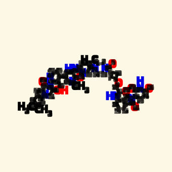 C[C@H]1CN(C(=O)[C@H]2C[C@@H](OCCNc3cccc4c3C(=O)N(C3CCC(=O)NC3=O)C4=O)C2)CCN1c1ccc(Nc2cc(-c3ccnc(N4CCn5c(cc6c5CC(C)(C)C6)C4=O)c3CO)cn(C)c2=O)nc1